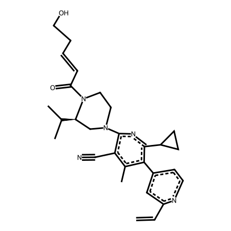 C=Cc1cc(-c2c(C3CC3)nc(N3CCN(C(=O)C=CCCO)[C@H](C(C)C)C3)c(C#N)c2C)ccn1